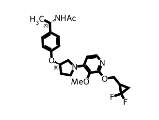 COc1c(N2CC[C@@H](Oc3ccc([C@H](C)NC(C)=O)cc3)C2)ccnc1OCC1CC1(F)F